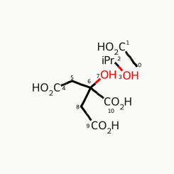 CC(=O)O.CC(C)O.O=C(O)CC(O)(CC(=O)O)C(=O)O